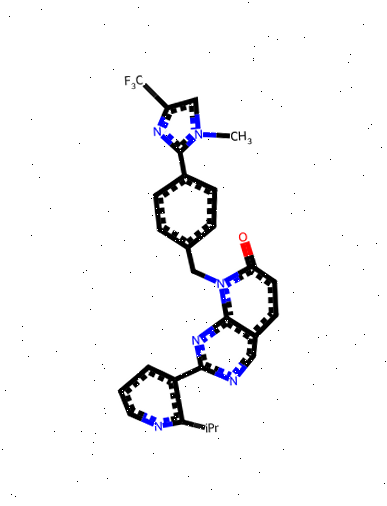 CC(C)c1ncccc1-c1ncc2ccc(=O)n(Cc3ccc(-c4nc(C(F)(F)F)cn4C)cc3)c2n1